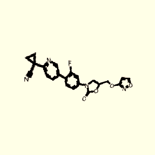 N#CC1(c2ccc(-c3ccc(N4CC(COc5ccon5)OC4=O)cc3F)cn2)CC1